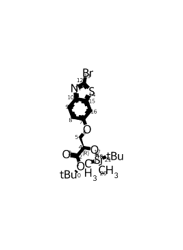 CC(C)(C)OC(=O)[C@@H](COc1ccc2nc(Br)sc2c1)O[Si](C)(C)C(C)(C)C